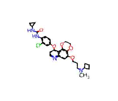 CN(CCCOc1cc2nccc(Oc3ccc(NC(=O)NC4CC4)c(Cl)c3)c2c2c1OCCO2)C1CCC1